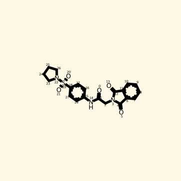 O=C(CN1C(=O)c2ccccc2C1=O)Nc1ccc(S(=O)(=O)N2CCCC2)cc1